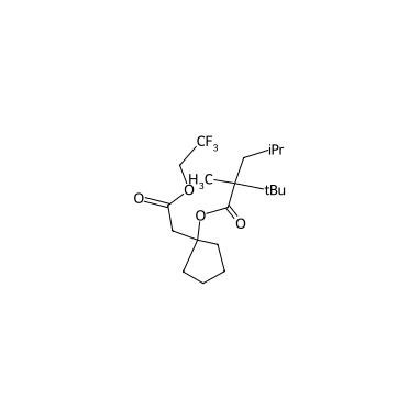 CC(C)CC(C)(C(=O)OC1(CC(=O)OCC(F)(F)F)CCCC1)C(C)(C)C